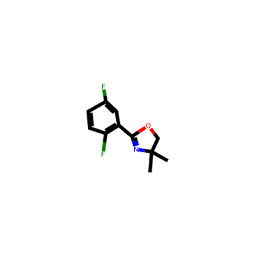 CC1(C)COC(c2cc(F)ccc2F)=N1